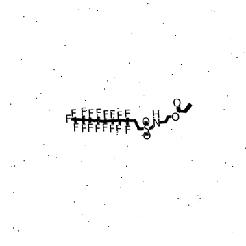 C=CC(=O)OCCNCS(=O)(=O)CCC(F)(F)C(F)(F)C(F)(F)C(F)(F)C(F)(F)C(F)(F)C(F)(F)C(F)(F)F